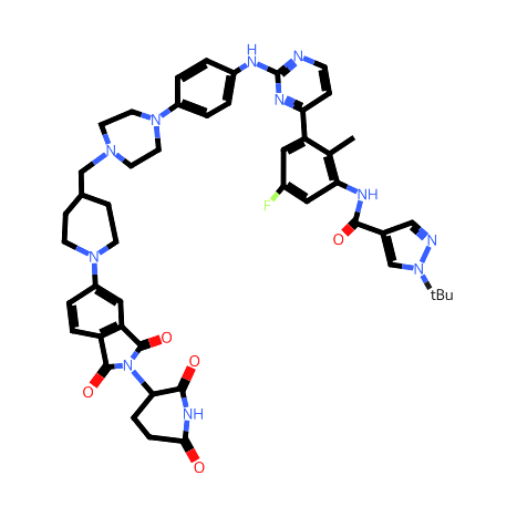 Cc1c(NC(=O)c2cnn(C(C)(C)C)c2)cc(F)cc1-c1ccnc(Nc2ccc(N3CCN(CC4CCN(c5ccc6c(c5)C(=O)N(C5CCC(=O)NC5=O)C6=O)CC4)CC3)cc2)n1